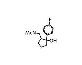 CNCC1CCCC1(O)c1ccc(F)cc1